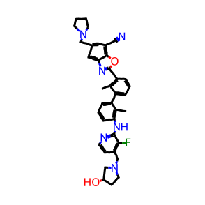 Cc1c(Nc2nccc(CN3CCC(O)C3)c2F)cccc1-c1cccc(-c2nc3cc(CN4CCCC4)cc(C#N)c3o2)c1C